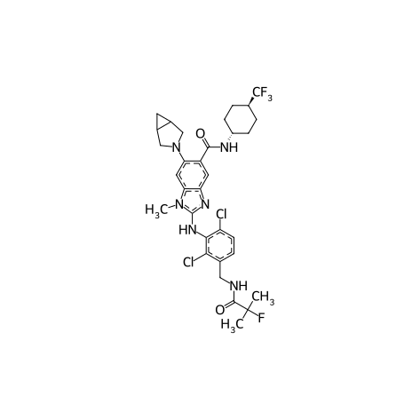 Cn1c(Nc2c(Cl)ccc(CNC(=O)C(C)(C)F)c2Cl)nc2cc(C(=O)N[C@H]3CC[C@H](C(F)(F)F)CC3)c(N3CC4CC4C3)cc21